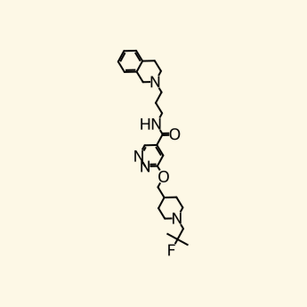 CC(C)(F)CN1CCC(COc2cc(C(=O)NCCCN3CCc4ccccc4C3)cnn2)CC1